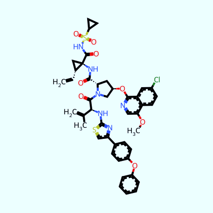 C=C[C@@H]1C[C@]1(NC(=O)[C@@H]1C[C@@H](Oc2ncc(OC)c3ccc(Cl)cc23)CN1C(=O)[C@@H](Nc1nc(-c2ccc(Oc3ccccc3)cc2)cs1)C(=C)C)C(=O)NS(=O)(=O)C1CC1